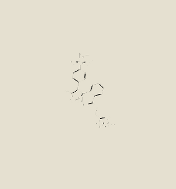 CNC(=O)CCC(=O)c1ccccc1-c1noc(C)c1-c1ccc(S(N)(=O)=O)cc1